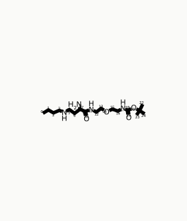 CCCCNCCC(N)C(=O)NCCOCCNC(=O)OC(C)(C)C